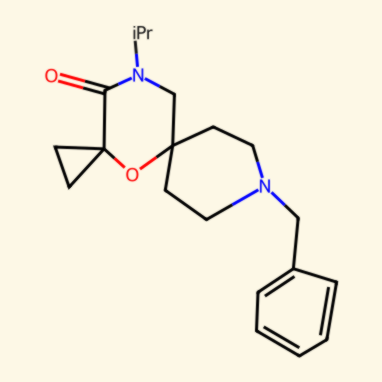 CC(C)N1CC2(CCN(Cc3ccccc3)CC2)OC2(CC2)C1=O